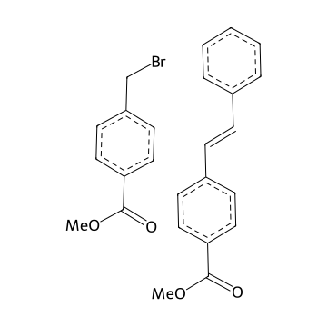 COC(=O)c1ccc(/C=C/c2ccccc2)cc1.COC(=O)c1ccc(CBr)cc1